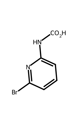 O=C(O)Nc1cccc(Br)n1